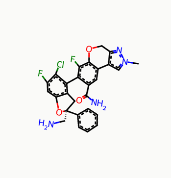 Cn1cc2c(n1)COc1c-2cc(C(N)=O)c(-c2c(Cl)c(F)cc3c2C[C@@](CN)(c2ccccc2)O3)c1F